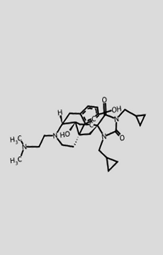 CN(C)CCN1CC[C@]23C[C@@]4(CC[C@@]2(O)[C@H]1Cc1ccc(O)cc13)C(=O)N(CC1CC1)C(=O)N4CC1CC1